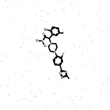 CCN(CC)C(=O)C(c1cc(F)ccc1Br)N1CCN(c2ccc(-c3nc(C)no3)cc2F)CC1